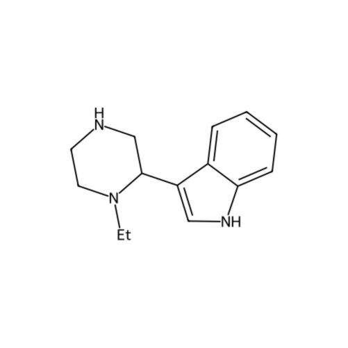 CCN1CCNCC1c1c[nH]c2ccccc12